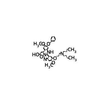 CCCCN(CCCC)CCCOc1cc2c(Nc3cc(OCc4ccccc4)c(OC)cc3/C=C/C(=O)O)ncnc2cc1OC